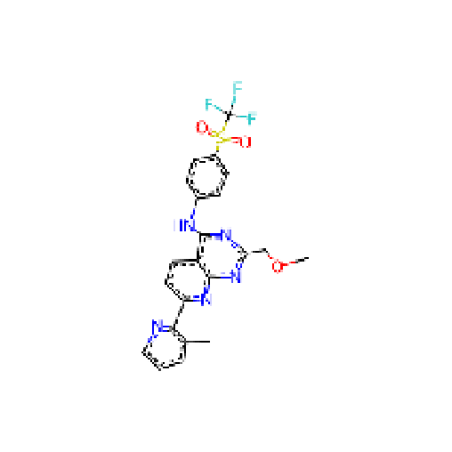 COCc1nc(Nc2ccc(S(=O)(=O)C(F)(F)F)cc2)c2ccc(-c3ncccc3C)nc2n1